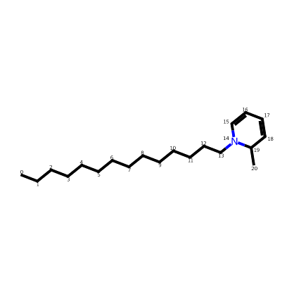 CCCCCCCCCCCCCCN1C=CC=CC1C